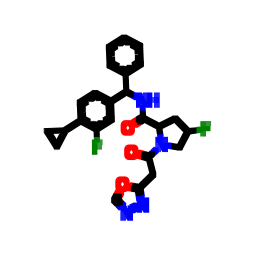 O=C(NC(c1ccccc1)c1ccc(C2CC2)c(F)c1)C1CC(F)CN1C(=O)Cc1nnco1